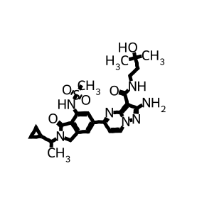 CC(C1CC1)N1Cc2cc(-c3ccn4nc(N)c(C(=O)NCCC(C)(C)O)c4n3)cc(NS(C)(=O)=O)c2C1=O